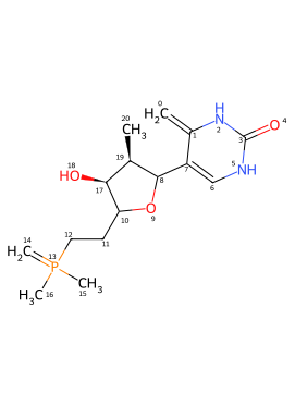 C=C1NC(=O)NC=C1C1OC(CCP(=C)(C)C)[C@@H](O)[C@H]1C